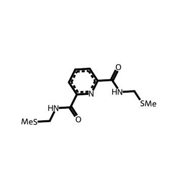 CSCNC(=O)c1cccc(C(=O)NCSC)n1